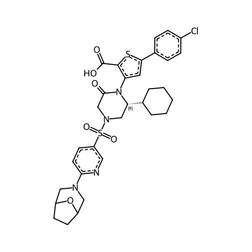 O=C(O)c1sc(-c2ccc(Cl)cc2)cc1N1C(=O)CN(S(=O)(=O)c2ccc(N3CC4CCC(C3)O4)nc2)C[C@H]1C1CCCCC1